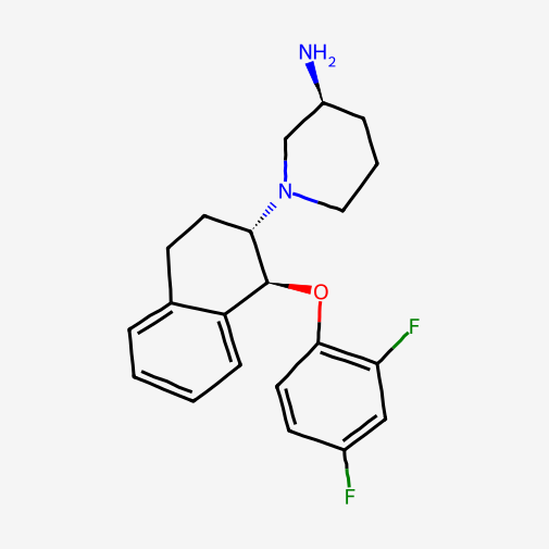 N[C@H]1CCCN([C@H]2CCc3ccccc3[C@@H]2Oc2ccc(F)cc2F)C1